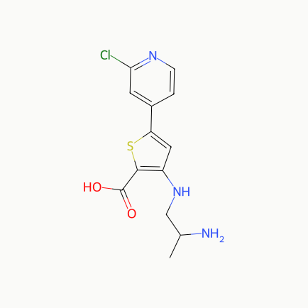 CC(N)CNc1cc(-c2ccnc(Cl)c2)sc1C(=O)O